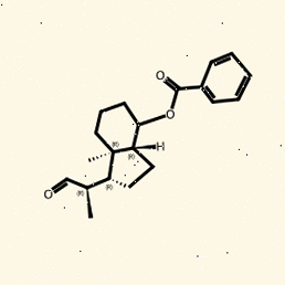 C[C@@H](C=O)[C@H]1CC[C@H]2C(OC(=O)c3ccccc3)CCC[C@]12C